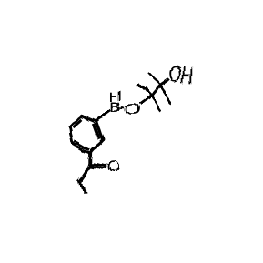 CCC(=O)c1cccc(BOC(C)(C)C(C)(C)O)c1